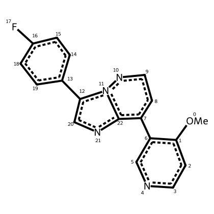 COc1ccncc1-c1ccnn2c(-c3ccc(F)cc3)cnc12